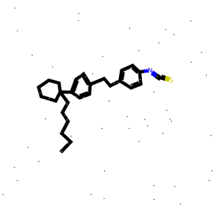 CCCCCCC1(c2ccc(CCc3ccc(N=C=S)cc3)cc2)CCCCC1